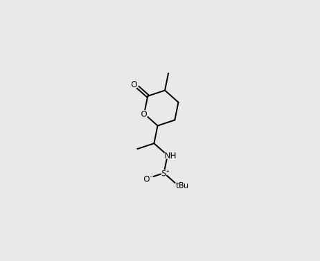 CC1CCC(C(C)N[S+]([O-])C(C)(C)C)OC1=O